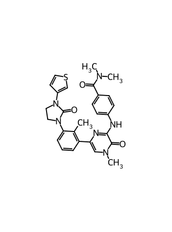 Cc1c(-c2cn(C)c(=O)c(Nc3ccc(C(=O)N(C)C)cc3)n2)cccc1N1CCN(c2ccsc2)C1=O